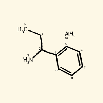 CCC(N)c1cc[c]cc1.[AlH3]